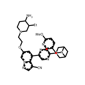 CCC1CN(CCOc2cc(-c3cnc(N4CC5CC(C4)N5Cc4ccc(OC)nc4)cn3)c3c(C#N)cnn3c2)CCC1N